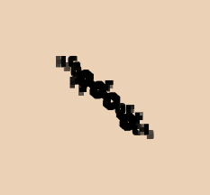 CCOc1ccc(-c2ccc(C3=CCC(OCc4ccc(C)c(F)c4F)CC3)c(F)c2)c(F)c1F